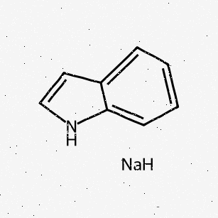 [NaH].c1ccc2[nH]ccc2c1